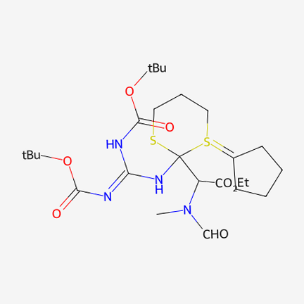 CCOC(=O)C(N(C)C=O)C1(NC(=NC(=O)OC(C)(C)C)NC(=O)OC(C)(C)C)SCCCS1=C1CCCC1